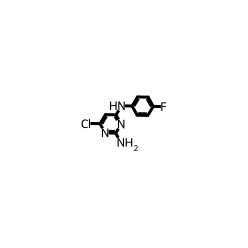 Nc1nc(Cl)cc(Nc2ccc(F)cc2)n1